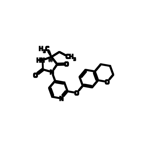 CC[C@@]1(C)NC(=O)N(c2ccnc(Oc3ccc4c(c3)OCCC4)c2)C1=O